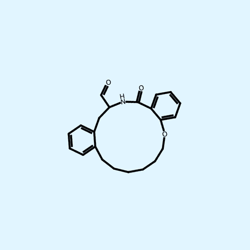 O=CC1Cc2ccccc2CCCCCCOc2ccccc2C(=O)N1